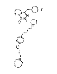 O=c1c2ccccc2c(Cc2ccc(F)cc2)nn1C[C@H]1CCCN1CCCCc1ccc(OCCCN2CCCCCC2)cc1